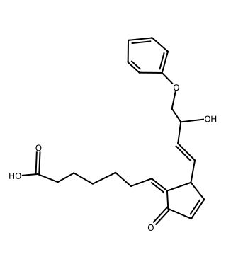 O=C(O)CCCCCC=C1C(=O)C=CC1C=CC(O)COc1ccccc1